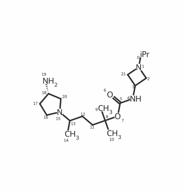 CC(C)N1CC(NC(=O)OC(C)(C)CCC(C)N2CC[C@H](N)C2)C1